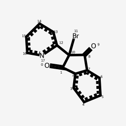 O=C1c2ccccc2C(=O)C1(Br)c1ccccn1